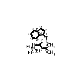 CC[PH](C=C(C)C=C(C)C)(CC)CC.[Ti][CH]1C=Cc2ccccc21